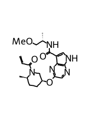 C=CC(=O)N1C[C@@H](Oc2cnc3[nH]cc(C(=O)N[C@@H](C)COC)c3n2)CC[C@H]1C